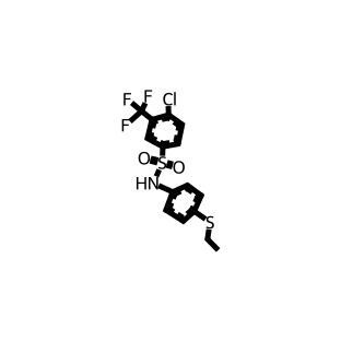 CCSc1ccc(NS(=O)(=O)c2ccc(Cl)c(C(F)(F)F)c2)cc1